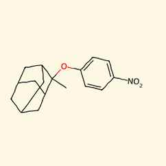 CC1(Oc2ccc([N+](=O)[O-])cc2)C2CC3CC(C2)CC1C3